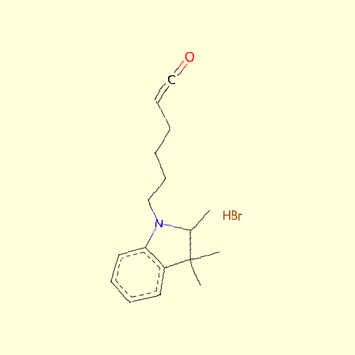 Br.CC1N(CCCCC=C=O)c2ccccc2C1(C)C